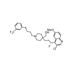 COc1ccc2ncc(Cl)c([C@H](F)CCC3(CO)CCN(CCCSc4cccc(C(F)(F)F)c4)CC3)c2c1